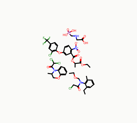 CC1COc2ccccc2N1C(=O)C(Cl)Cl.CCOC(=O)C(C)OC(=O)c1cc(Oc2ccc(C(F)(F)F)cc2Cl)ccc1[N+](=O)[O-].CCOCN(C(=O)CCl)c1c(C)cccc1CC.O=C(O)CNCP(=O)(O)O